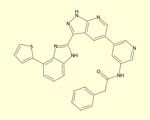 O=C(Cc1ccccc1)Nc1cncc(-c2cnc3[nH]nc(-c4nc5c(-c6cccs6)cccc5[nH]4)c3c2)c1